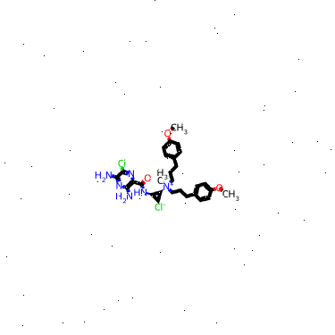 COc1ccc(CCC[N+](C)(CCCc2ccc(OC)cc2)[C@@H]2C[C@H]2NC(=O)c2nc(Cl)c(N)nc2N)cc1.[Cl-]